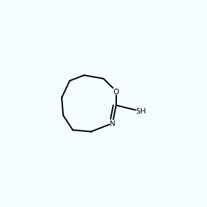 S/C1=N/CCCCCCCO1